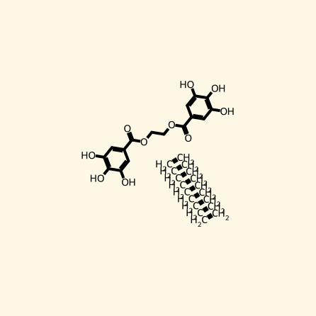 C=C.C=C.C=C.C=C.C=C.C=C.C=C.C=C.C=C.O=C(OCCOC(=O)c1cc(O)c(O)c(O)c1)c1cc(O)c(O)c(O)c1